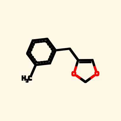 Cc1cccc(CC2=COCO2)c1